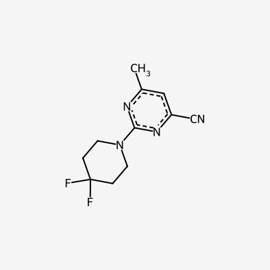 Cc1cc(C#N)nc(N2CCC(F)(F)CC2)n1